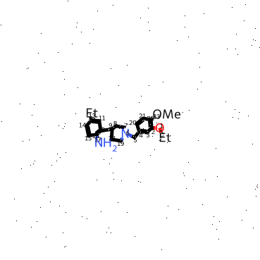 CCOc1cc(CN2CCC(c3cc(CC)ccc3N)CC2)ccc1OC